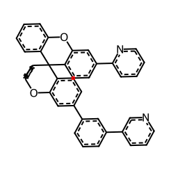 c1ccc(-c2ccc3c(c2)Oc2ccccc2C32c3ccccc3Oc3cc(-c4cccc(-c5cccnc5)c4)ccc32)nc1